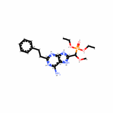 CCOP(=O)(OCC)C(OC)c1nc2nc(CCc3ccccc3)nc(N)c2[nH]1